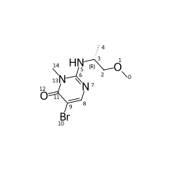 COC[C@@H](C)Nc1ncc(Br)c(=O)n1C